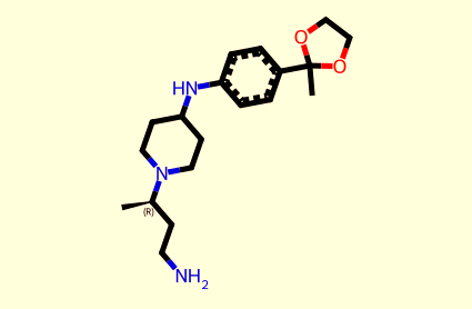 C[C@H](CCN)N1CCC(Nc2ccc(C3(C)OCCO3)cc2)CC1